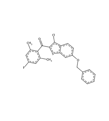 Cc1cc(F)cc(C)c1C(=O)c1sc2cc(OCc3ccccc3)ccc2c1Cl